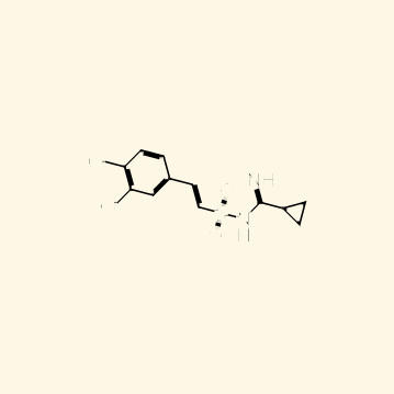 N=C(NS(=O)(=O)C=Cc1ccc(Cl)c(Cl)c1)C1CC1